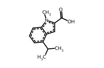 CC(C)c1cccc2c1cc(C(=O)O)n2C